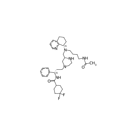 CC(=O)NCCCCN(CC1CN(CC[C@H](NC(=O)C2CCC(F)(F)CC2)c2ccccc2)CCN1)[C@H]1CCCc2cccnc21